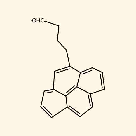 O=[C]CCCc1cc2cccc3ccc4cccc1c4c32